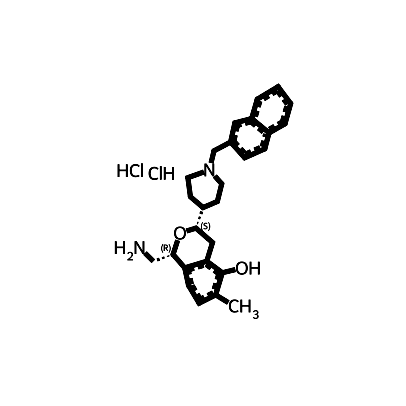 Cc1ccc2c(c1O)C[C@@H](C1CCN(Cc3ccc4ccccc4c3)CC1)O[C@H]2CN.Cl.Cl